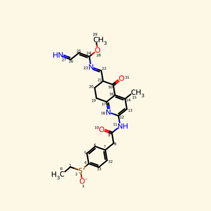 CC[S+]([O-])c1ccc(CC(=O)Nc2cc(C)c3c(n2)CCC(/C=N/C(=C\C=N)OC)C3=O)cc1